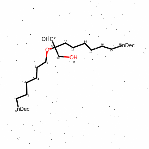 CCCCCCCCCCCCCCCCOC(C=O)(CO)CCCCCCCCCCCCCCCC